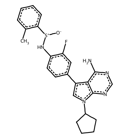 Cc1ccccc1[S+]([O-])Nc1ccc(-c2cn(C3CCCC3)c3ncnc(N)c23)cc1F